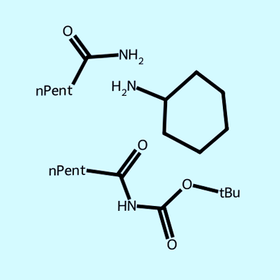 CCCCCC(=O)NC(=O)OC(C)(C)C.CCCCCC(N)=O.NC1CCCCC1